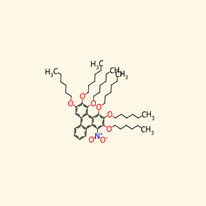 CCCCCCOc1cc2c3ccccc3c3c([N+](=O)[O-])c(OCCCCCC)c(OCCCCCC)c(OCCCCCC)c3c2c(OCCCCCC)c1OCCCCCC